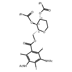 CC(=O)Nc1c(I)c(NC(C)=O)c(I)c(C(=O)OC[C@H]2OCC[C@@H](OC(=O)C(C)C)[C@@H]2OC(=O)C(C)C)c1I